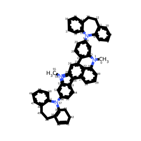 CN1c2cc(N3c4ccccc4CCc4ccccc43)ccc2-c2cc3c(c4cccc1c24)c1ccc(N2C4=C(C=CCC4)CCc4ccccc42)cc1n3C